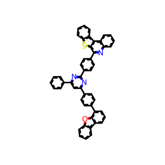 c1ccc(-c2cc(-c3ccc(-c4cccc5c4oc4ccccc45)cc3)nc(-c3ccc(-c4nc5ccccc5c5c4sc4ccccc45)cc3)n2)cc1